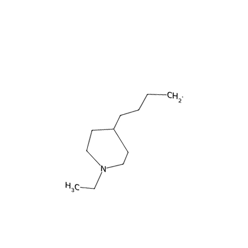 [CH2]CCCC1CCN(CC)CC1